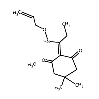 C=CCONC(CC)=C1C(=O)CC(C)(C)CC1=O.O